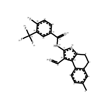 Cc1ccc2c(c1)CCc1sc(NC(=O)c3ccc(F)c(C(F)(F)F)c3)c(C=O)c1-2